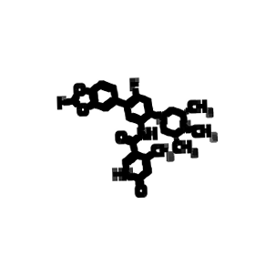 C[C@@H]1CN(c2cc(F)c(-c3ccc4c(c3)OC(F)O4)cc2NC(=O)c2c[nH]c(=O)cc2C(F)(F)F)C[C@H](C)N1C